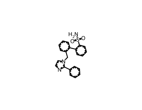 NS(=O)(=O)c1ccccc1-c1ccccc1Cn1ccnc1-c1ccccc1